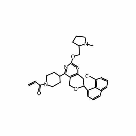 C=CC(=O)N1CCC(c2nc(OCC3CCCN3C)nc3c2COC(c2cccc4cccc(Cl)c24)C3)CC1